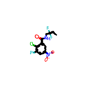 CCC(F)(F)CNC(=O)c1cc([N+](=O)[O-])cc(F)c1Cl